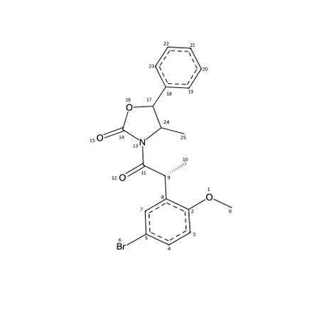 COc1ccc(Br)cc1[C@@H](C)C(=O)N1C(=O)OC(c2ccccc2)C1C